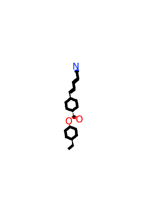 CC[C@H]1CC[C@H](OC(=O)[C@H]2CC[C@H](C=CC=CC#N)CC2)CC1